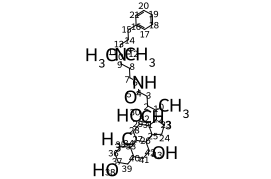 C[C@H](CCC(=O)NCCC[N+](C)(C)CCCc1ccccc1)[C@H]1CCC2C3C(C[C@H](O)[C@@]21C)[C@@]1(C)CC[C@@H](O)CC1C[C@H]3O